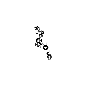 CC(C)(C)OC(=O)N1CCC12CN(c1ccc3ncnc(Nc4ccc(OCC5CCOC5)cc4)c3n1)C2